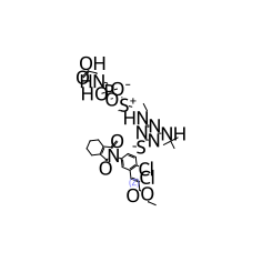 CCNc1nc(NC(C)(C)C)nc(SC)n1.CCOC(=O)/C(Cl)=C/c1cc(N2C(=O)C3=C(CCCC3)C2=O)ccc1Cl.C[S+](C)C.O=C(O)CNCP(=O)([O-])O